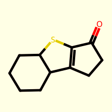 O=C1CCC2=C1SC1CCCCC21